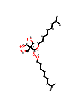 CC(C)CCCCCCCOOC(OCCCCCCCC(C)C)C(CO)(CO)CO